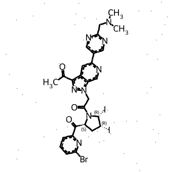 CC(=O)c1nn(CC(=O)N2[C@H](I)[C@H](I)C[C@H]2C(=O)c2cccc(Br)n2)c2cnc(-c3cnc(CN(C)C)nc3)cc12